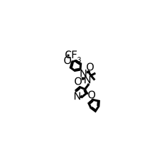 CC1(C)C(=O)N(c2ccc(OC(F)(F)F)cc2)C(=O)N1Cc1ccncc1Oc1ccccc1